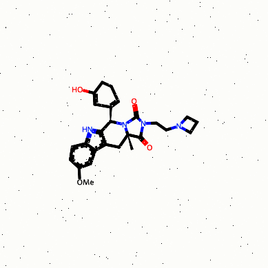 COc1ccc2[nH]c3c(c2c1)C[C@@]1(C)C(=O)N(CCN2CCC2)C(=O)N1[C@@H]3C1=CCCC(O)=C1